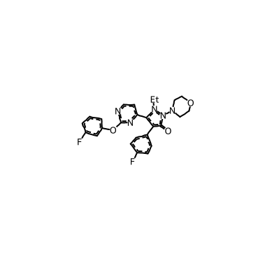 CCn1c(-c2ccnc(Oc3cccc(F)c3)n2)c(-c2ccc(F)cc2)c(=O)n1N1CCOCC1